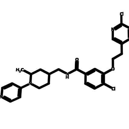 CC1CC(CNC(=O)c2ccc(Cl)c(OCCc3ccc(Cl)nc3)c2)CCN1c1ccncc1